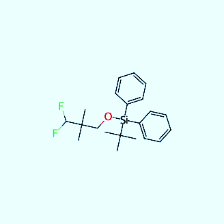 CC(C)(CO[Si](c1ccccc1)(c1ccccc1)C(C)(C)C)C(F)F